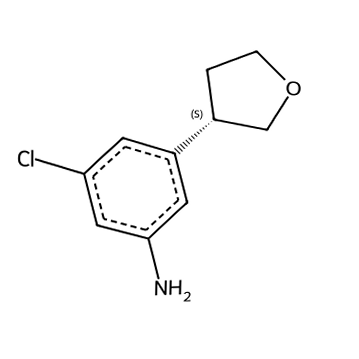 Nc1cc(Cl)cc([C@@H]2CCOC2)c1